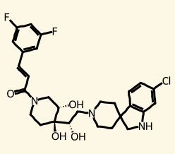 O=C(/C=C/c1cc(F)cc(F)c1)N1CC[C@@](O)([C@@H](O)CN2CCC3(CC2)CNc2cc(Cl)ccc23)[C@@H](O)C1